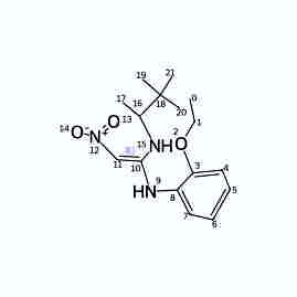 CCOc1ccccc1N/C(=C/[N+](=O)[O-])NC(C)C(C)(C)C